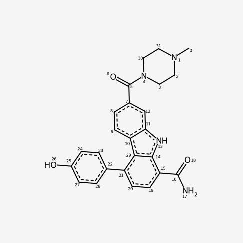 CN1CCN(C(=O)c2ccc3c(c2)[nH]c2c(C(N)=O)ccc(-c4ccc(O)cc4)c23)CC1